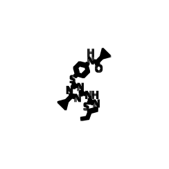 CCc1cnc(Nc2nc(Sc3ccc(NC(=O)C4CC4)cc3)nc(C3CC3)n2)s1